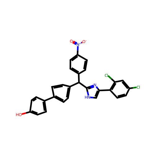 O=[N+]([O-])c1ccc(C(c2ccc(-c3ccc(O)cc3)cc2)c2nc(-c3ccc(Cl)cc3Cl)c[nH]2)cc1